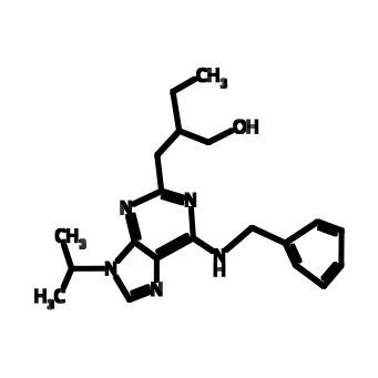 CCC(CO)Cc1nc(NCc2ccccc2)c2ncn(C(C)C)c2n1